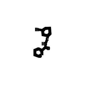 CCc1cccc(CNC(=O)c2ccccn2)c1